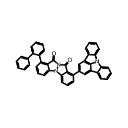 O=c1c2c(-c3cc4c5ccccc5n5c6ccccc6c(c3)c45)cccc2n2c3cccc(-c4ccccc4-c4ccccc4)c3c(=O)n12